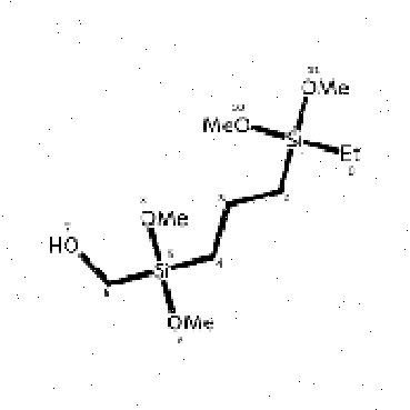 CC[Si](CCC[Si](CO)(OC)OC)(OC)OC